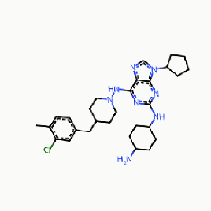 Cc1ccc(CC2CCN(Nc3nc(NC4CCC(N)CC4)nc4c3ncn4C3CCCC3)CC2)cc1Cl